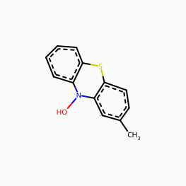 Cc1[c]c2c(cc1)Sc1ccccc1N2O